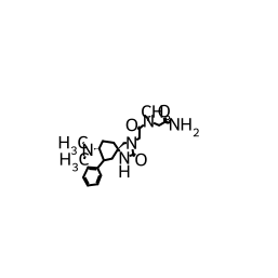 CN(CC(N)=O)C(=O)CN1C[C@@]2(CC[C@@H](N(C)C)C(c3ccccc3)C2)NC1=O